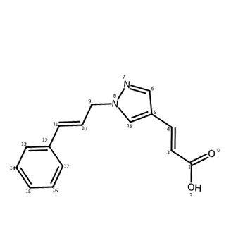 O=C(O)C=Cc1cnn(CC=Cc2ccccc2)c1